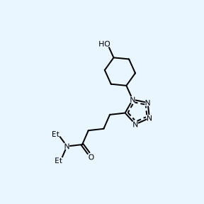 CCN(CC)C(=O)CCCc1nnnn1C1CCC(O)CC1